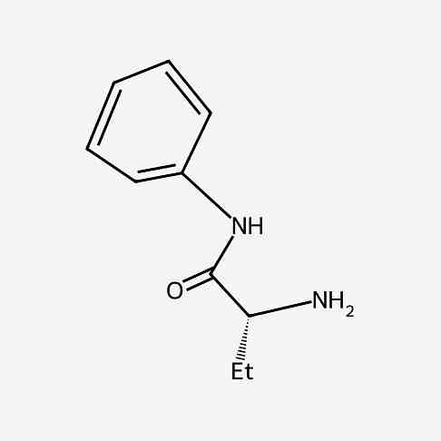 CC[C@@H](N)C(=O)Nc1ccccc1